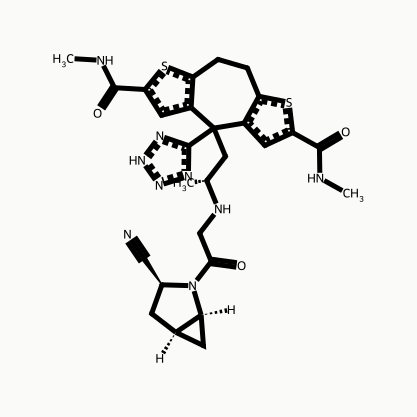 CNC(=O)c1cc2c(s1)CCc1sc(C(=O)NC)cc1C2(C[C@@H](C)NCC(=O)N1[C@H](C#N)C[C@@H]2C[C@@H]21)c1nn[nH]n1